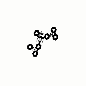 C[Si]1(C)c2ccccc2-c2nc(-c3ccc4c5ccccc5n(-c5ccccc5)c4c3)nc(-c3ccc(-n4c5ccccc5c5ccccc54)cc3)c21